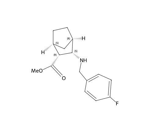 COC(=O)[C@@H]1[C@H]2CC[C@H](C2)[C@@H]1NCc1ccc(F)cc1